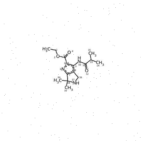 CCOC(=O)n1nc2c(c1NC(=O)C(C)C)CNC2(C)C